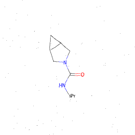 CC(C)NC(=O)N1CC2CC2C1